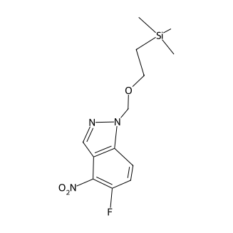 C[Si](C)(C)CCOCn1ncc2c([N+](=O)[O-])c(F)ccc21